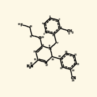 Cc1cccnc1CN1C(OCCF)=CC(N)=NC1c1cccc(C#N)c1